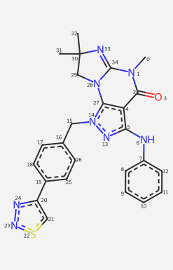 CN1C(=O)c2c(Nc3ccccc3)nn(Cc3ccc(-c4csnn4)cc3)c2N2CC(C)(C)N=C12